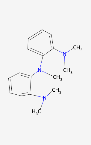 CN(C)c1ccccc1N(C)c1ccccc1N(C)C